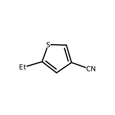 CCc1cc(C#N)cs1